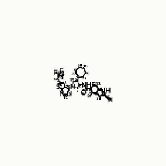 Cc1c(C(=O)NC2CN(c3ncnc4sc(CC(F)(F)F)cc34)CC2C2CCCCCC2)ccc2[nH]c(C#N)cc12